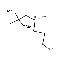 COC(C)(C[C@H](C)CCCC(C)C)OC